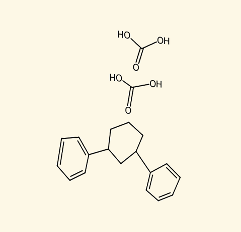 O=C(O)O.O=C(O)O.c1ccc(C2CCCC(c3ccccc3)C2)cc1